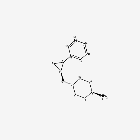 N[C@H]1CC[C@H](C[C@H]2CC2c2cccnc2)CC1